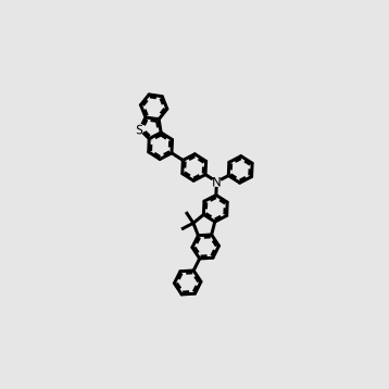 CC1(C)c2cc(-c3ccccc3)ccc2-c2ccc(N(c3ccccc3)c3ccc(-c4ccc5sc6ccccc6c5c4)cc3)cc21